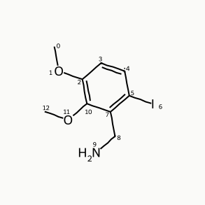 COc1c[c]c(I)c(CN)c1OC